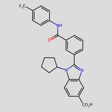 O=C(O)c1ccc2c(c1)nc(-c1cccc(C(=O)Nc3ccc(C(F)(F)F)cc3)c1)n2C1CCCC1